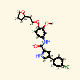 COc1cc(NC(=O)c2cc(-c3ccc(Cl)cc3)c[nH]2)ccc1OCCC1CCCO1